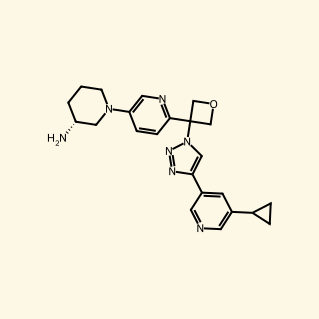 N[C@@H]1CCCN(c2ccc(C3(n4cc(-c5cncc(C6CC6)c5)nn4)COC3)nc2)C1